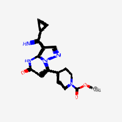 CC(C)(C)OC(=O)N1CCC(c2cc(=O)[nH]c3c(C(=N)C4CC4)cnn23)CC1